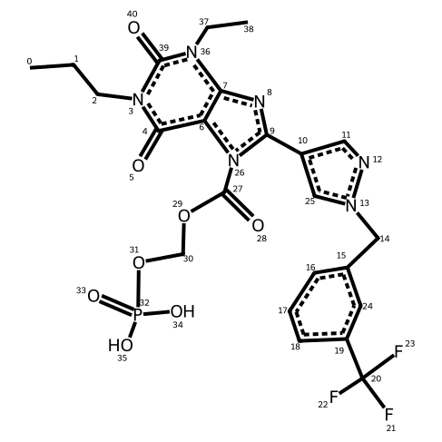 CCCn1c(=O)c2c(nc(-c3cnn(Cc4cccc(C(F)(F)F)c4)c3)n2C(=O)OCOP(=O)(O)O)n(CC)c1=O